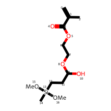 C=C(C)C(=O)OCCOC(O)CC[Si](C)(OC)OC